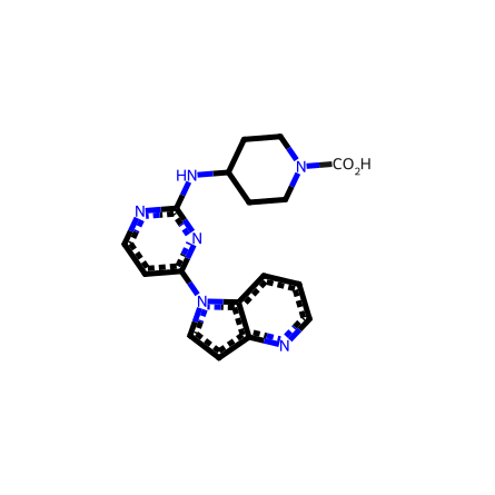 O=C(O)N1CCC(Nc2nccc(-n3ccc4ncccc43)n2)CC1